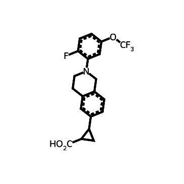 O=C(O)C1CC1c1ccc2c(c1)CCN(c1cc(OC(F)(F)F)ccc1F)C2